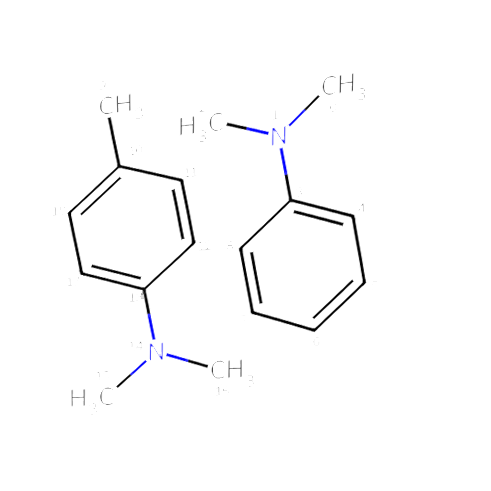 CN(C)c1ccccc1.Cc1ccc(N(C)C)cc1